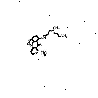 CN(CCCN)CCCNc1ccc2nnn3c4ccccc4c(=O)c1c23.Cl.Cl.Cl